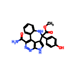 COC(=O)C1(c2ccc(O)cc2)Nc2ccccc2-c2c(C(N)=O)nnc3[nH]cc1c23